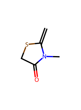 C=C1SCC(=O)N1C